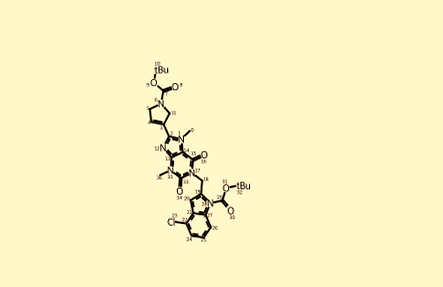 Cn1c(C2=CCN(C(=O)OC(C)(C)C)C2)nc2c1c(=O)n(Cc1cc3c(Cl)cccc3n1C(=O)OC(C)(C)C)c(=O)n2C